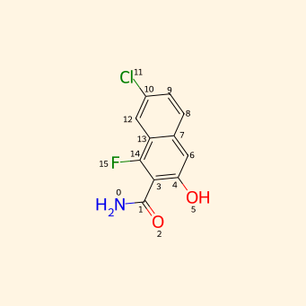 NC(=O)c1c(O)cc2ccc(Cl)cc2c1F